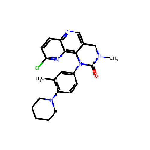 Cc1cc(N2C(=O)N(C)Cc3cnc4ccc(Cl)nc4c32)ccc1N1CCCCC1